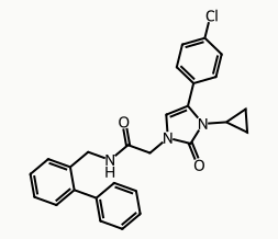 O=C(Cn1cc(-c2ccc(Cl)cc2)n(C2CC2)c1=O)NCc1ccccc1-c1ccccc1